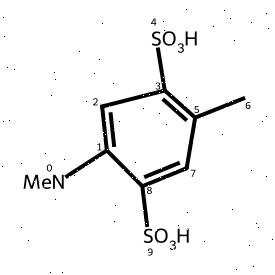 CNc1cc(S(=O)(=O)O)c(C)cc1S(=O)(=O)O